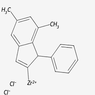 Cc1cc(C)c2c(c1)C=[C]([Zr+2])C2c1ccccc1.[Cl-].[Cl-]